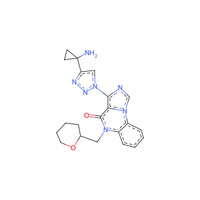 NC1(c2cn(-c3ncn4c3c(=O)n(CC3CCCCO3)c3ccccc34)nn2)CC1